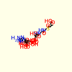 CC(=CC(=O)SCCNC(=O)CCNC(=O)[C@H](O)C(C)(C)COP(=O)(O)OP(=O)(O)OC[C@H]1O[C@@H](n2cnc3c(N)ncnc32)[C@H](O)[C@@H]1OP(=O)(O)O)CC(=O)O